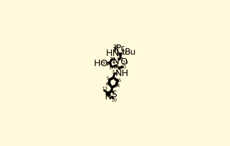 C=C(NCc1ccc(-c2scnc2C)cc1)[C@@H]1C[C@@H](O)CN1C(=O)[C@@H](NC(C)C)C(C)(C)C